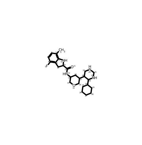 Cc1ccc(F)c2c1NC(C(=O)NC1COCC(C3CNCNC3C3CCCCC3)C1)C2